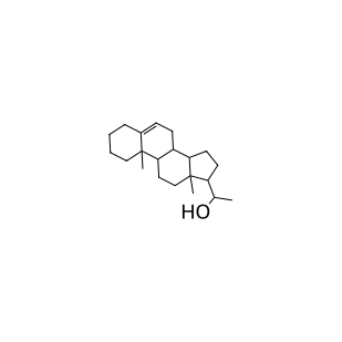 CC(O)C1CCC2C3CC=C4CCCCC4(C)C3CCC12C